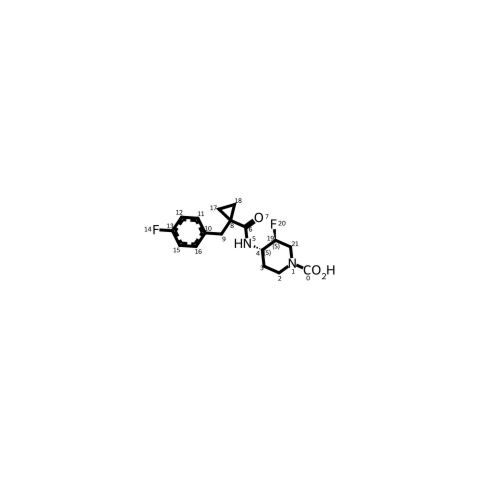 O=C(O)N1CC[C@H](NC(=O)C2(Cc3ccc(F)cc3)CC2)[C@@H](F)C1